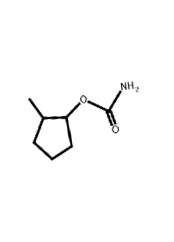 CC1CCCC1OC(N)=O